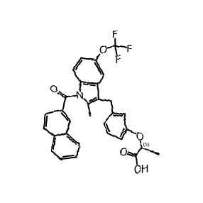 Cc1c(Cc2cccc(O[C@@H](C)C(=O)O)c2)c2cc(OC(F)(F)F)ccc2n1C(=O)c1ccc2ccccc2c1